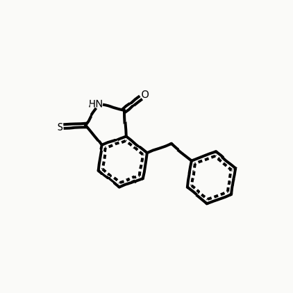 O=C1NC(=S)c2cccc(Cc3ccccc3)c21